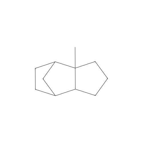 CC12CCCC1C1CCC2C1